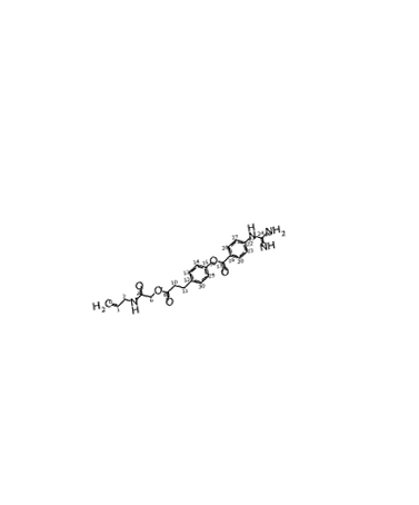 C=CCNC(=O)COC(=O)CCc1ccc(OC(=O)c2ccc(NC(=N)N)cc2)cc1